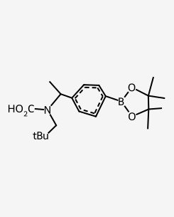 CC(c1ccc(B2OC(C)(C)C(C)(C)O2)cc1)N(CC(C)(C)C)C(=O)O